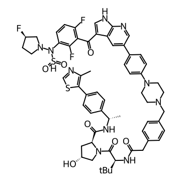 Cc1ncsc1-c1ccc([C@H](C)NC(=O)[C@@H]2C[C@@H](O)CN2C(=O)[C@@H](NC(=O)Cc2ccc(CN3CCN(c4ccc(-c5cnc6[nH]cc(C(=O)c7c(F)ccc(N(N8CC[C@@H](F)C8)[SH](=O)=O)c7F)c6c5)cc4)CC3)cc2)C(C)(C)C)cc1